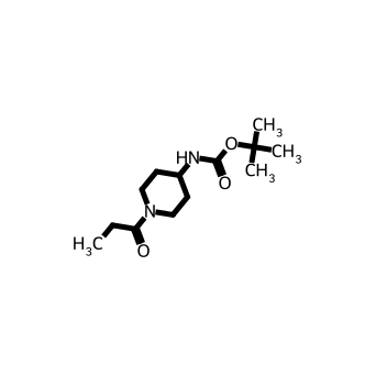 CCC(=O)N1CCC(NC(=O)OC(C)(C)C)CC1